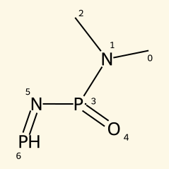 CN(C)[P](=O)N=P